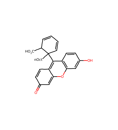 CCCCCCCCC1(c2c3ccc(=O)cc-3oc3cc(O)ccc23)C=CC=CC1C(=O)O